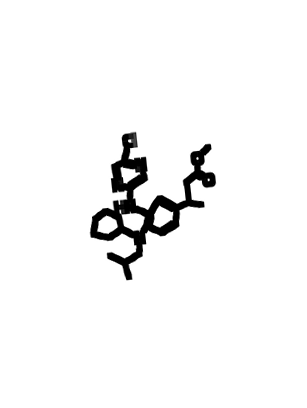 COC(=O)CC(C)c1ccc(N(CC(C)C)C2CCCCC2)c(Nc2cnc(Cl)cn2)c1